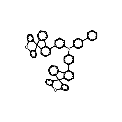 c1ccc(-c2ccc(N(c3ccc(-c4cccc5c4-c4ccccc4C54c5ccccc5Oc5ccccc54)cc3)c3cccc(-c4cccc5c4-c4ccccc4C54c5ccccc5Oc5ccccc54)c3)cc2)cc1